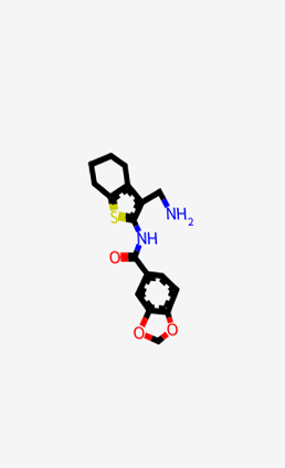 NCc1c(NC(=O)c2ccc3c(c2)OCO3)sc2c1CCCC2